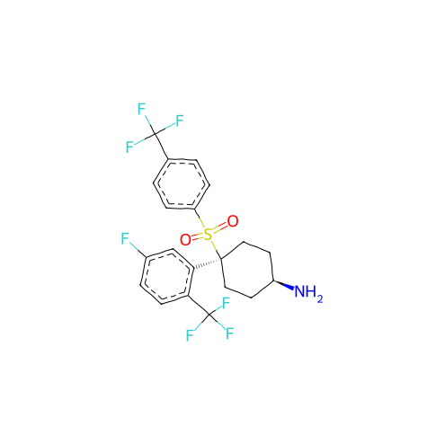 N[C@H]1CC[C@@](c2cc(F)ccc2C(F)(F)F)(S(=O)(=O)c2ccc(C(F)(F)F)cc2)CC1